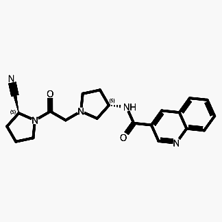 N#C[C@@H]1CCCN1C(=O)CN1CC[C@H](NC(=O)c2cnc3ccccc3c2)C1